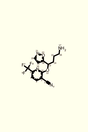 N#Cc1ccc(C(F)(F)F)nc1OC(CCCN)c1ccno1